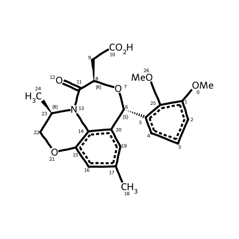 COc1cccc([C@H]2O[C@H](CC(=O)O)C(=O)N3c4c(cc(C)cc42)OC[C@H]3C)c1OC